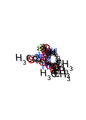 COc1ccc2ncc(O[C@@H]3CC4C(=O)N[C@]5(C(=O)NS(=O)(=O)C6(CF)CC6)C[C@H]5/C=C\CC[C@@H](C)C[C@@H](C)[C@H](NC(=O)OC(C)(C)C)C(=O)N4C3)cc2c1